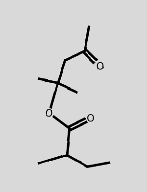 CCC(C)C(=O)OC(C)(C)CC(C)=O